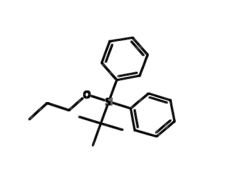 CCCO[Si](c1ccccc1)(c1ccccc1)C(C)(C)C